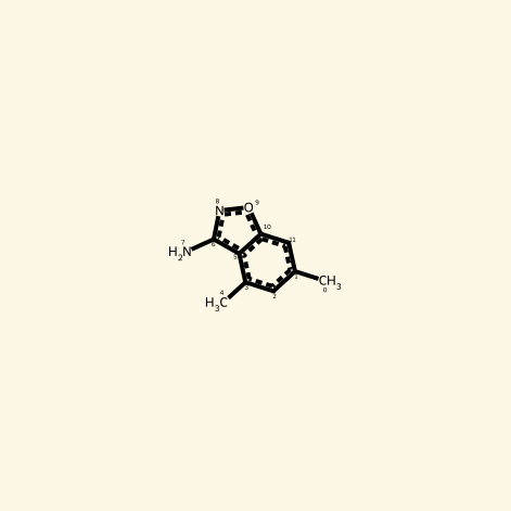 Cc1cc(C)c2c(N)noc2c1